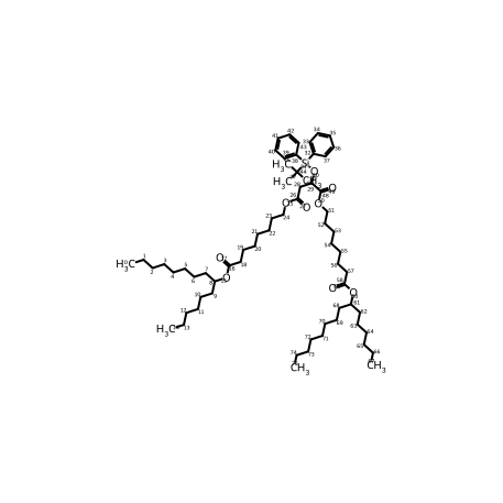 CCCCCCCCC(CCCCCC)OC(=O)CCCCCCCOC(=O)CC(O[Si](c1ccccc1)(c1ccccc1)C(C)(C)C)C(=O)OCCCCCCCC(=O)OC(CCCCCC)CCCCCCCC